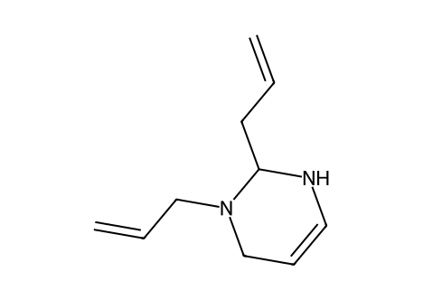 C=CCC1NC=CCN1CC=C